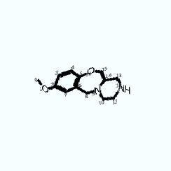 COc1ccc2c(c1)CN1CCNCC1CO2